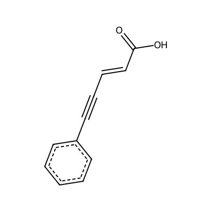 O=C(O)/C=C/C#Cc1ccccc1